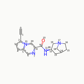 C#Cc1ccc2cnc(C(=O)N[C@@H]3CC4CCN(C4)C3)cn12